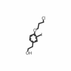 OCCc1ccc(OCCCCl)c(I)c1